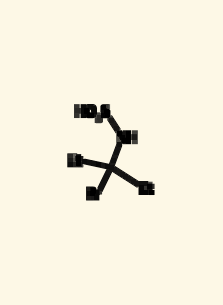 CCC(Br)(CC)NS(=O)(=O)O